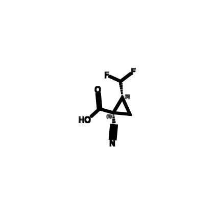 N#C[C@@]1(C(=O)O)C[C@H]1C(F)F